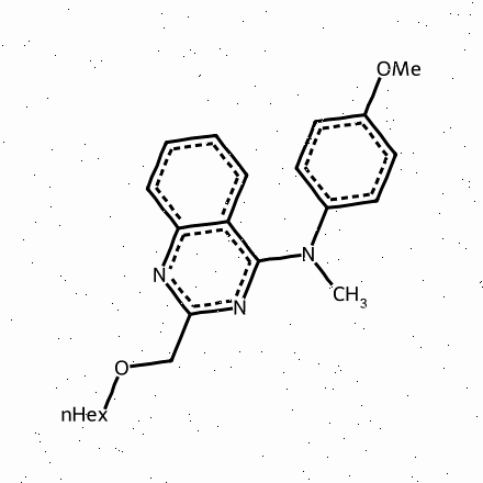 CCCCCCOCc1nc(N(C)c2ccc(OC)cc2)c2ccccc2n1